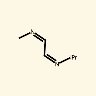 C/N=C\C=N/C(C)C